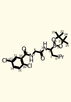 CC(C)CC(NC(=O)CNC(=O)c1cc(Cl)ccc1Cl)B1OC(C)(C)C(C)(C)O1